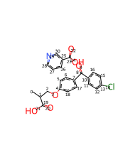 CC(COc1ccc(C(=O)c2ccc(Cl)cc2)cc1)C(=O)O.O=C(O)c1cccnc1